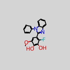 COc1cc(-c2nc3ccccc3n2-c2ccccc2)c(F)c(O)c1O